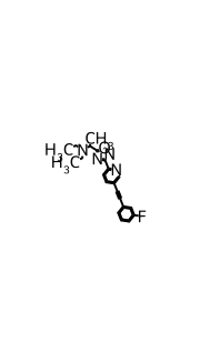 CCN(CC)C(C)c1nc(-c2ccc(C#Cc3cccc(F)c3)cn2)no1